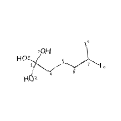 OC(O)(O)CCCC(I)I